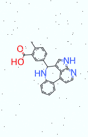 Cc1ccc(C2Nc3ccccc3-c3ccnc4[nH]cc2c34)cc1C(=O)O